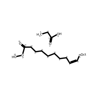 CCC(=O)O.CCCCCCCC/C=C\CCCCCCCC(=O)OO